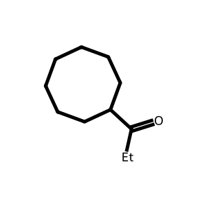 CCC(=O)C1CCCCCCC1